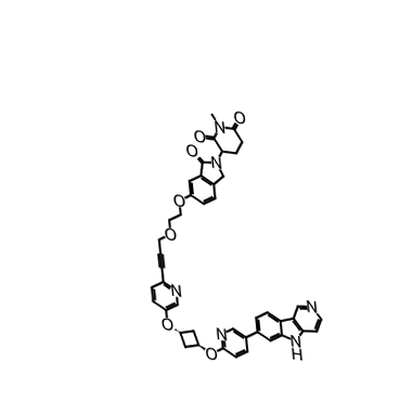 CN1C(=O)CCC(N2Cc3ccc(OCCOCC#Cc4ccc(O[C@H]5C[C@H](Oc6ccc(-c7ccc8c(c7)[nH]c7ccncc78)cn6)C5)cn4)cc3C2=O)C1=O